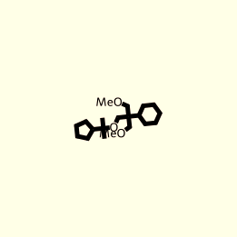 COCC(COC)(COC(C)(C)C1CCCC1)C1CCCCC1